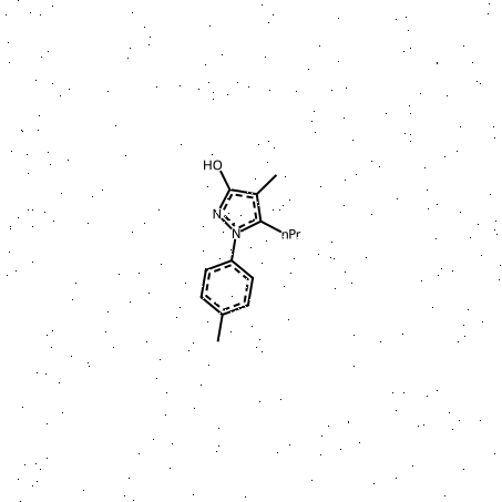 CCCc1c(C)c(O)nn1-c1ccc(C)cc1